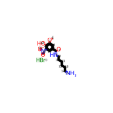 Br.COc1cc(C(=O)NCCCCCCN)cc([N+](=O)[O-])c1O